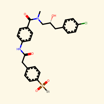 CCS(=O)(=O)c1ccc(CC(=O)Nc2ccc(C(=O)N(C)C[C@H](O)Cc3ccc(Cl)cc3)cc2)cc1